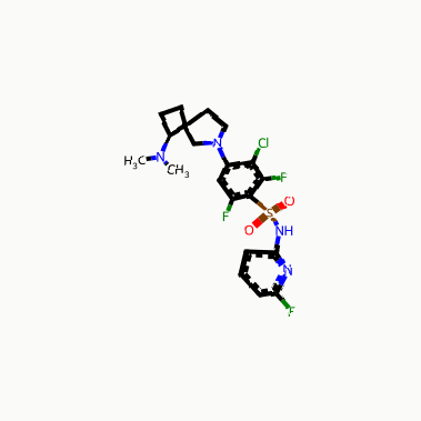 CN(C)C1CCC12CCN(c1cc(F)c(S(=O)(=O)Nc3cccc(F)n3)c(F)c1Cl)C2